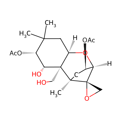 CC(=O)O[C@@H]1C[C@]2(C)[C@@]3(CO)[C@H](O)[C@H](OC(C)=O)C(C)(C)C[C@H]3O[C@H]1[C@@]21CO1